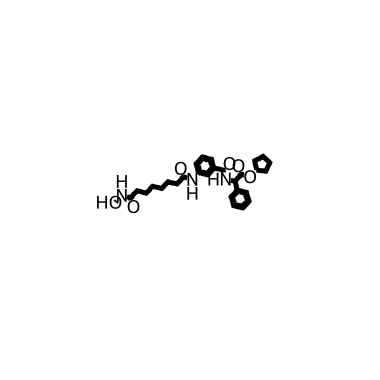 O=C(CCCCCCC(=O)Nc1cccc(C(=O)NC(C(=O)OC2CCCC2)c2ccccc2)c1)NO